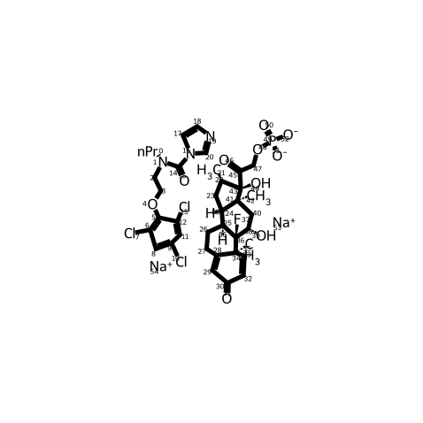 CCCN(CCOc1c(Cl)cc(Cl)cc1Cl)C(=O)n1ccnc1.C[C@H]1C[C@H]2[C@@H]3CCC4=CC(=O)C=C[C@]4(C)[C@@]3(F)[C@@H](O)C[C@]2(C)[C@@]1(O)C(=O)COP(=O)([O-])[O-].[Na+].[Na+]